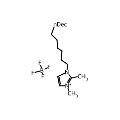 CCCCCCCCCCCCCCCCn1cc[n+](C)c1C.F[B-](F)(F)F